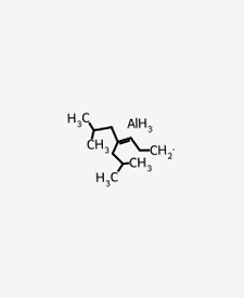 [AlH3].[CH2]CC=C(CC(C)C)CC(C)C